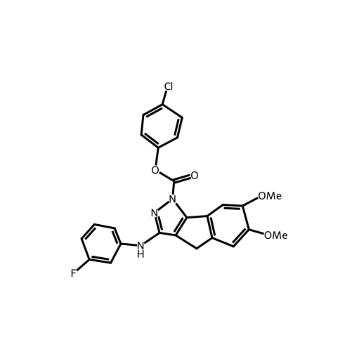 COc1cc2c(cc1OC)-c1c(c(Nc3cccc(F)c3)nn1C(=O)Oc1ccc(Cl)cc1)C2